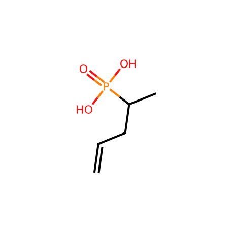 C=CCC(C)P(=O)(O)O